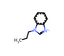 CCCN1C=[N+]c2ccccc21